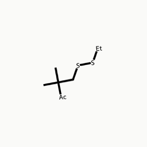 CCSSCC(C)(C)C(C)=O